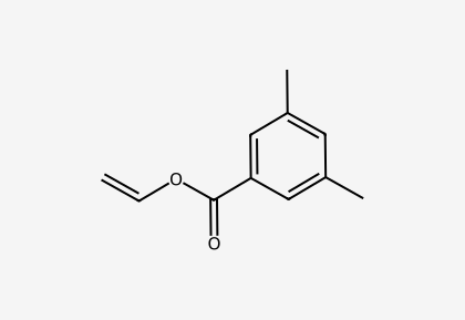 C=COC(=O)c1cc(C)cc(C)c1